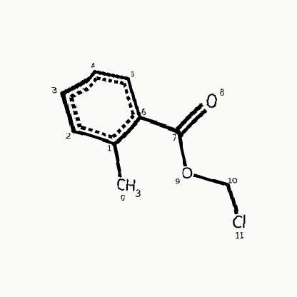 Cc1ccccc1C(=O)OCCl